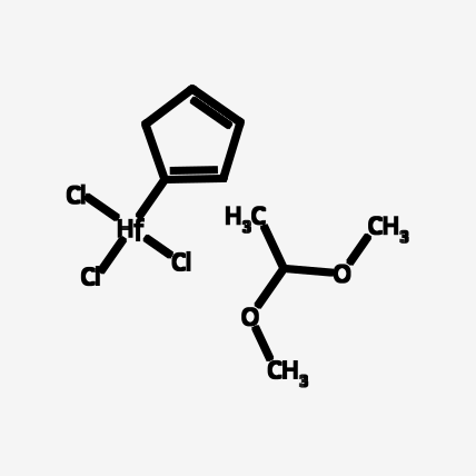 COC(C)OC.[Cl][Hf]([Cl])([Cl])[C]1=CC=CC1